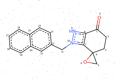 O=C1CCC2(CO2)c2c1[nH]n2Cc1ccc2ccccc2c1